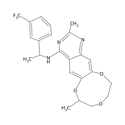 Cc1nc(NC(C)c2cccc(C(F)(F)F)c2)c2cc3c(cc2n1)OCCOCC(C)O3